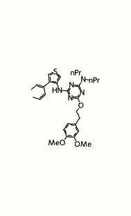 C/C=C\C(=C/C)c1cscc1Nc1nc(OCCc2ccc(OC)c(OC)c2)nc(N(CCC)CCC)n1